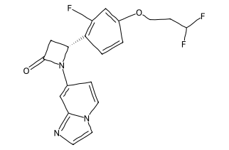 O=C1C[C@H](c2ccc(OCCC(F)F)cc2F)N1c1ccn2ccnc2c1